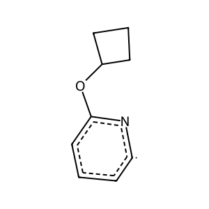 [c]1cccc(OC2CCC2)n1